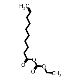 C=CCCCCCCCC(=O)OC(=O)OCC